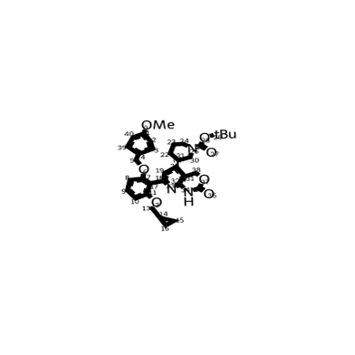 COc1ccc(COc2cccc(OCC3CC3)c2-c2cc([C@H]3CCCN(C(=O)OC(C)(C)C)C3)c3c(n2)NC(=O)OC3)cc1